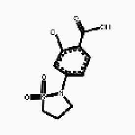 O=C(O)c1ccc(N2CCCS2(=O)=O)cc1Cl